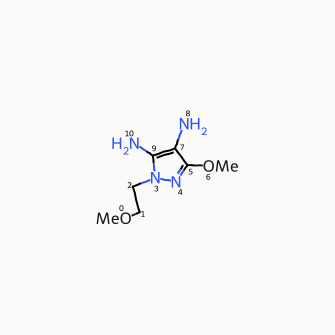 COCCn1nc(OC)c(N)c1N